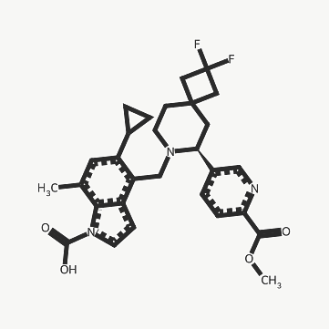 COC(=O)c1ccc([C@@H]2CC3(CCN2Cc2c(C4CC4)cc(C)c4c2ccn4C(=O)O)CC(F)(F)C3)cn1